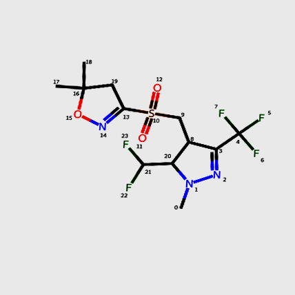 CN1N=C(C(F)(F)F)C(CS(=O)(=O)C2=NOC(C)(C)C2)C1C(F)F